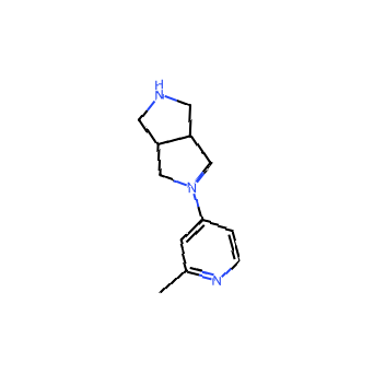 Cc1cc(N2CC3CNCC3C2)ccn1